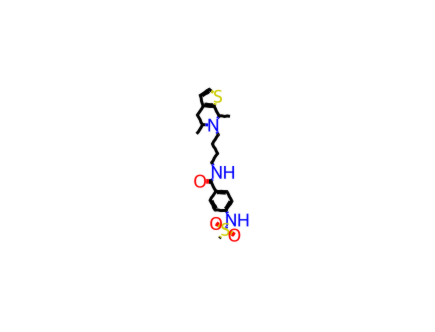 CC1Cc2ccsc2C(C)N1CCCCNC(=O)c1ccc(NS(C)(=O)=O)cc1